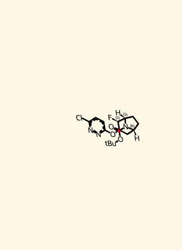 CC(C)(C)OC(=O)N1[C@@H]2CC[C@H]1[C@H](F)[C@H](Oc1ccc(Cl)nn1)C2